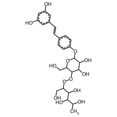 CC(O)C(O)C(O)C(CO)OOC1C(CO)OC(Oc2ccc(/C=C/c3cc(O)cc(O)c3)cc2)C(O)C1O